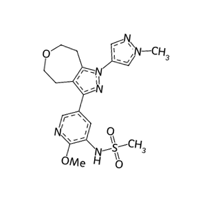 COc1ncc(-c2nn(-c3cnn(C)c3)c3c2CCOCC3)cc1NS(C)(=O)=O